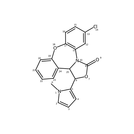 Cn1cccc1C1OC(=O)N2c3cc(Cl)ccc3Oc3ccccc3C12